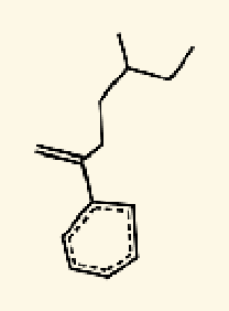 C=C(CCC(C)CC)c1ccccc1